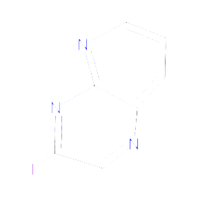 Ic1cnc2cccnc2n1